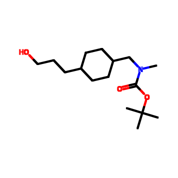 CN(CC1CCC(CCCO)CC1)C(=O)OC(C)(C)C